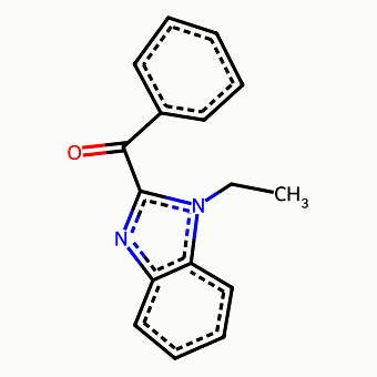 CCn1c(C(=O)c2ccccc2)nc2ccccc21